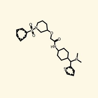 CN(C)C(c1cccs1)C1CCC(NC(=O)COC2CCCN(S(=O)(=O)c3ccccc3)C2)CC1